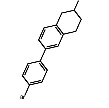 CCCC1CCc2cc(-c3ccc(Br)cc3)ccc2C1